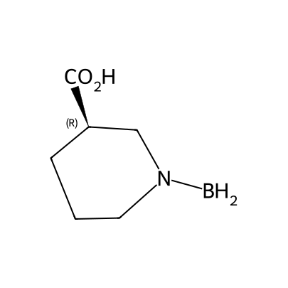 BN1CCC[C@@H](C(=O)O)C1